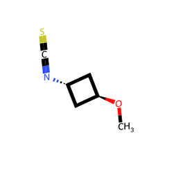 CO[C@H]1C[C@H](N=C=S)C1